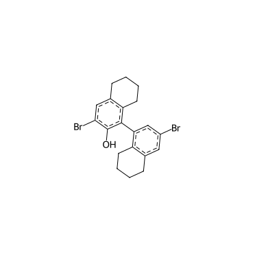 Oc1c(Br)cc2c(c1-c1cc(Br)cc3c1CCCC3)CCCC2